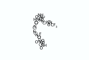 NC(=O)c1nnc(N2CCC[C@@H](N3CCN(CC(F)(F)F)C3=O)C2)nc1Nc1ccc(N2CCC(CN3CCN(c4cc5c(cc4F)C(=O)N(C4CCC(=O)NC4=O)C5=O)CC3)CC2)cc1